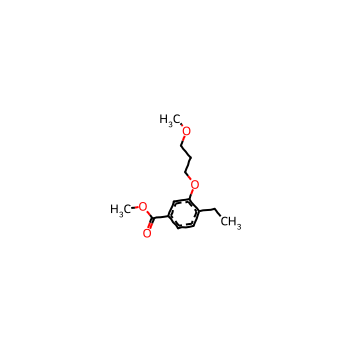 CCc1ccc(C(=O)OC)cc1OCCCOC